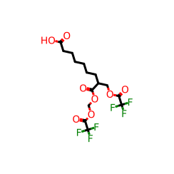 O=C(O)CCCCCCC(COC(=O)C(F)(F)F)C(=O)OCOC(=O)C(F)(F)F